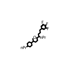 CCCC1CCC(C2CCC(C(CCC)CCCc3cc(F)c(F)c(F)c3)OC2)CC1